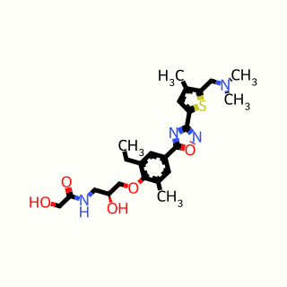 CCc1cc(-c2nc(-c3cc(C)c(CN(C)C)s3)no2)cc(C)c1OC[C@@H](O)CNC(=O)CO